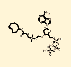 CS(C)(CNC(=O)OC1CC/C=C/CCC1)SCO[C@@H]1C[C@H](n2cnc3c(N)ncnc32)OC1COP(=O)(O)OP(=O)(O)OP(=O)(O)O